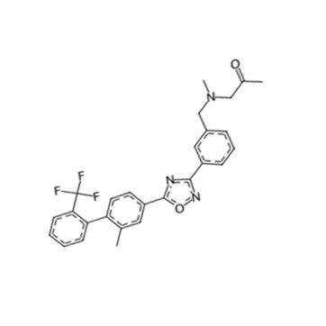 CC(=O)CN(C)Cc1cccc(-c2noc(-c3ccc(-c4ccccc4C(F)(F)F)c(C)c3)n2)c1